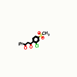 CC(C)C(=O)CC(=O)c1ccc(S(C)(=O)=O)cc1Cl